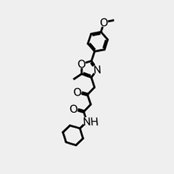 COc1ccc(-c2nc(CC(=O)CC(=O)NC3CCCCC3)c(C)o2)cc1